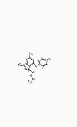 N#Cc1cc(Oc2ncc(Cl)cn2)c2c(c1)c(Cl)nn2CCCC(F)(F)F